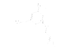 C=CCON1CC(OC)=CC(N)C1